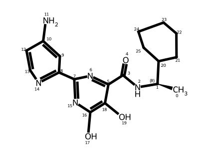 C[C@@H](NC(=O)c1nc(-c2cc(N)ccn2)nc(O)c1O)C1CCCCC1